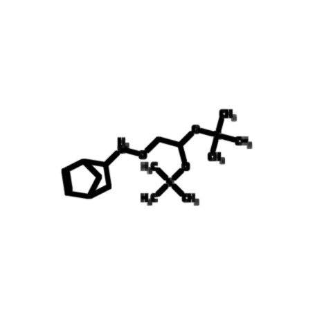 C[Si](C)(C)OC(CO[SiH2]C1CC2C=CC1C2)O[Si](C)(C)C